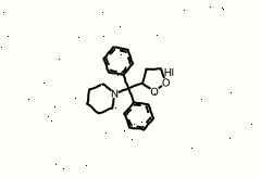 I.c1ccc(C(c2ccccc2)(C2CCOO2)N2CCCCC2)cc1